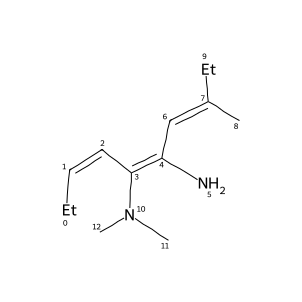 CC\C=C/C(=C(N)\C=C(/C)CC)N(C)C